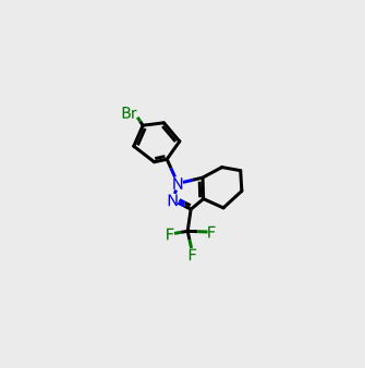 FC(F)(F)c1nn(-c2ccc(Br)cc2)c2c1CCCC2